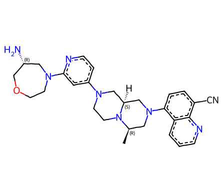 C[C@@H]1CN(c2ccc(C#N)c3ncccc23)C[C@@H]2CN(c3ccnc(N4CCOC[C@H](N)C4)c3)CCN21